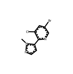 Cn1nccc1-c1ncc(Br)cc1Cl